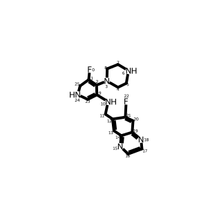 FC1=C(N2CCNCC2)C(NCc2cc3nccnc3cc2F)=CNC1